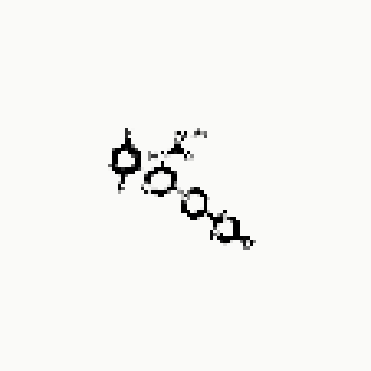 CC(C)(C)OC(=O)N[C@H]1C[C@@H](N2CC=C(c3ncc(Br)cn3)CC2)CO[C@@H]1c1cc(F)ccc1F